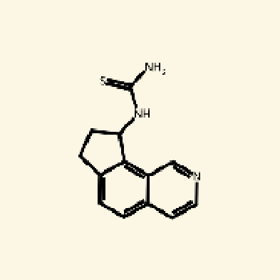 NC(=S)NC1CCc2ccc3ccncc3c21